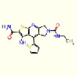 CCNC(=O)N1Cc2nc3sc(C(N)=O)c(N)c3c(-c3cccs3)c2C1